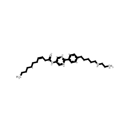 CCCCCCC/C=C\CC(=O)Oc1cnc(-c2ccc(CCCCCOCCC)cc2)nc1